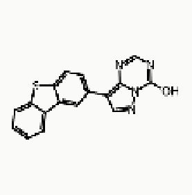 Oc1ncnc2c(-c3ccc4sc5ccccc5c4c3)cnn12